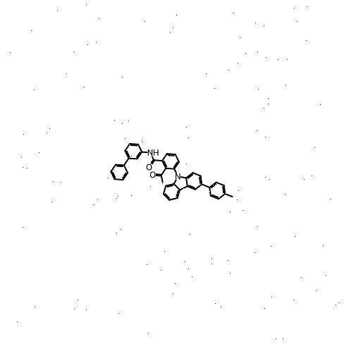 CC(=O)c1c(C(=O)Nc2cccc(-c3ccccc3)c2)cccc1-n1c2ccccc2c2cc(-c3ccc(C)cc3)ccc21